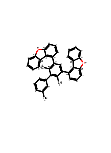 N#Cc1cccc(-c2c(C#N)c(-c3cccc4oc5ccccc5c34)cc(-c3cccc4oc5ccccc5c34)c2C#N)c1